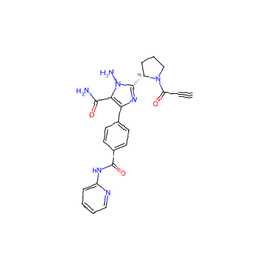 C#CC(=O)N1CCC[C@H]1c1nc(-c2ccc(C(=O)Nc3ccccn3)cc2)c(C(N)=O)n1N